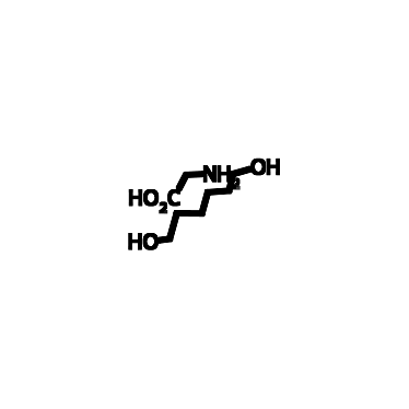 NCC(=O)O.OCCCCCCO